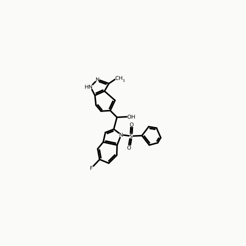 Cc1n[nH]c2ccc(C(O)c3cc4cc(F)ccc4n3S(=O)(=O)c3ccccc3)cc12